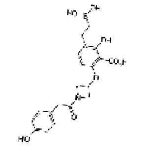 O=C(O)c1c(OC2CN(C(=O)Cc3ccc(O)cc3)C2)ccc(CCB(O)O)c1O